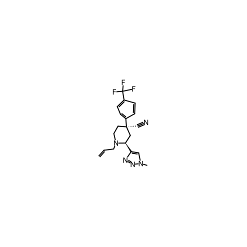 C=CCN1CC[C@@](C#N)(c2ccc(C(F)(F)F)cc2)C[C@H]1c1cn(C)nn1